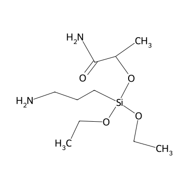 CCO[Si](CCCN)(OCC)OC(C)C(N)=O